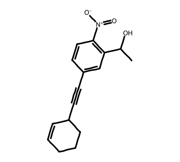 CC(O)c1cc(C#CC2C=CCCC2)ccc1[N+](=O)[O-]